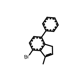 CC1=CCc2c(-c3ccccc3)ccc(Br)c21